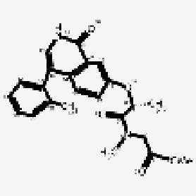 COC(=O)CN(C)C(=O)[C@@H](C)Oc1ccc2c(-c3ccccc3C)c[nH]c(=O)c2c1